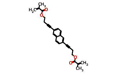 C=C(C)C(=O)OCCC#Cc1ccc2cc(C#CCCOC(=O)C(=C)C)ccc2c1